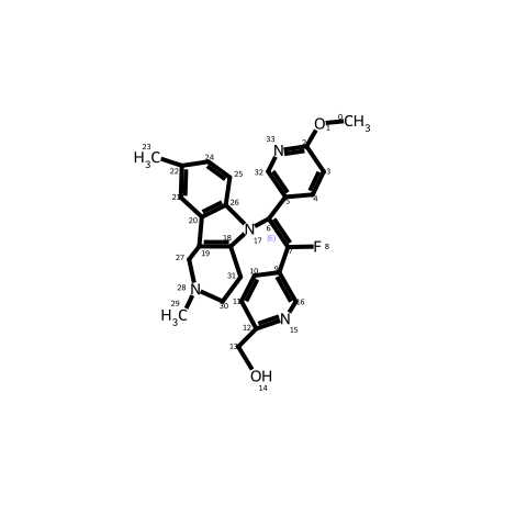 COc1ccc(/C(=C(\F)c2ccc(CO)nc2)n2c3c(c4cc(C)ccc42)CN(C)CC3)cn1